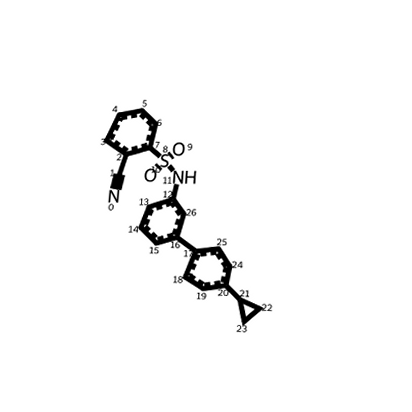 N#Cc1ccccc1S(=O)(=O)Nc1cccc(-c2ccc(C3CC3)cc2)c1